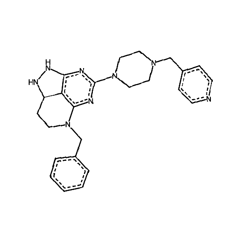 c1ccc(CN2CCC3NNc4nc(N5CCN(Cc6ccncc6)CC5)nc2c43)cc1